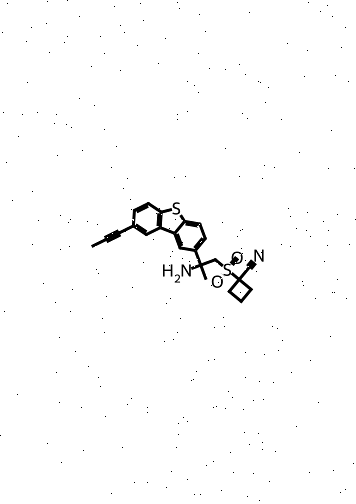 CC#Cc1ccc2sc3ccc(C(C)(N)CS(=O)(=O)C4(C#N)CCC4)cc3c2c1